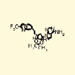 CC1(C)O[C@@H]2[C@@H](CCc3ccn4cc(C(F)(F)F)nc4c3)C[C@@H](n3ccc4c(N)ncnc43)[C@@H]2O1